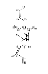 C=C/C(C)=C\C(C)=C(/C)NC(=C)/C(C=C)=C/C=C\C